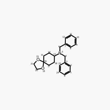 c1ccc(CN(Cc2ccccc2)C2CCC3(CC2)OCCO3)cc1